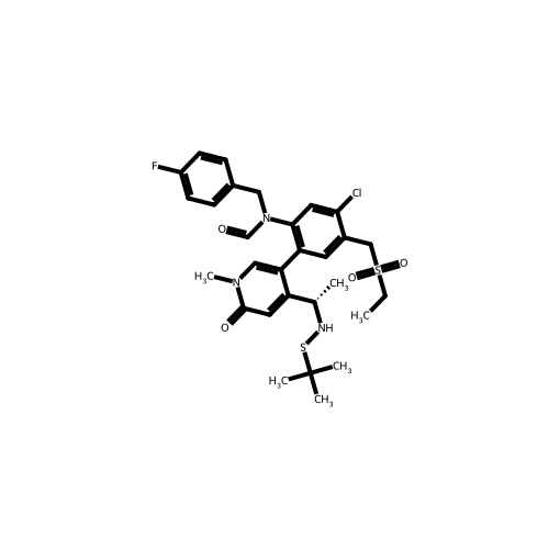 CCS(=O)(=O)Cc1cc(-c2cn(C)c(=O)cc2[C@H](C)NSC(C)(C)C)c(N(C=O)Cc2ccc(F)cc2)cc1Cl